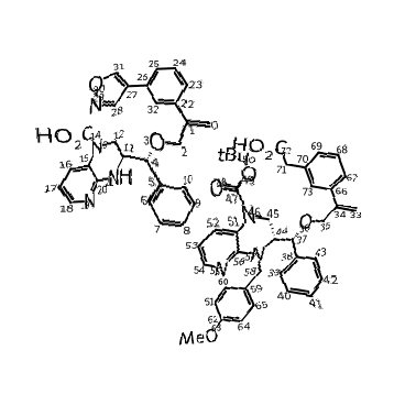 C=C(CO[C@H](c1ccccc1)C1CN(C(=O)O)c2cccnc2N1)c1cccc(-c2cnoc2)c1.C=C(CO[C@H](c1ccccc1)[C@H]1CN(C(=O)OC(C)(C)C)c2cccnc2N1Cc1ccc(OC)cc1)c1cccc(CC(=O)O)c1